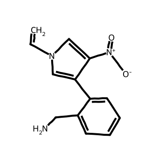 C=Cn1cc(-c2ccccc2CN)c([N+](=O)[O-])c1